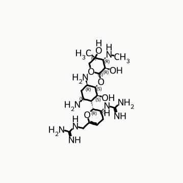 CN[C@@H]1[C@@H](O)[C@@H](O[C@H]2[C@H](N)C[C@H](N)C([C@H]3OC(CNC(=N)N)=CC[C@H]3NC(=N)N)[C@@H]2O)OC[C@]1(C)O